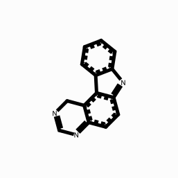 C1=NCc2c3c(ccc2=N1)=Nc1ccccc1-3